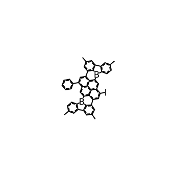 Cc1ccc2c(c1)-c1cc(C)cc3c1B2c1cc2c(-c4ccccc4)cc4c5c(cc6c(I)cc-3c1c6c25)B1c2ccc(C)cc2-c2cc(C)cc-4c21